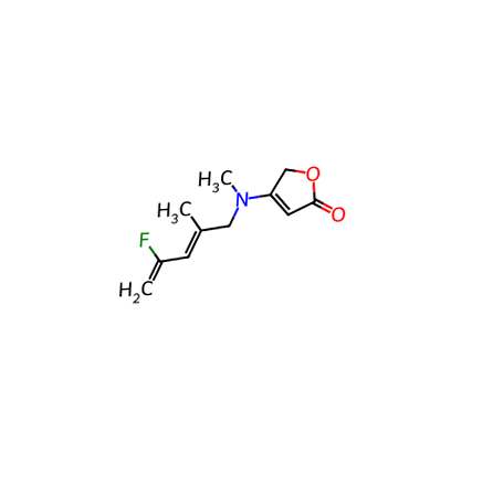 C=C(F)/C=C(\C)CN(C)C1=CC(=O)OC1